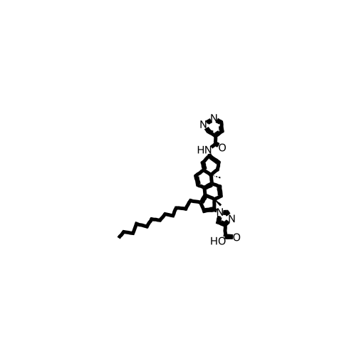 CCCCCCCCCCCCC1=C2C3=C(C=C[C@]2(C)C(n2cnc(C(=O)O)c2)=C1)[C@]1(C)CC=C(NC(=O)c2ccnnc2)C=C1C=C3